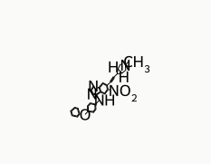 CN1C[C@@H]2C(C#Cc3cc4ncnc(Nc5ccc(Oc6ccccc6)cc5)c4cc3[N+](=O)[O-])[C@@H]2C1